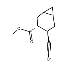 COC(=O)[C@@H]1CC2CC2C[C@H]1C#CBr